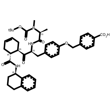 C[C@@H](C(=O)N[C@@H](Cc1ccc(OCc2ccc(C(=O)O)cc2)cc1)C(=O)[C@@H]1CC=CC[C@H]1C(=O)N[C@@H]1CCCc2ccccc21)N(C)C(=O)OC(C)(C)C